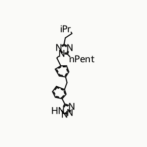 CCCCCc1nc(CCC(C)C)nn1Cc1ccc(Cc2cccc(-c3nnn[nH]3)c2)cc1